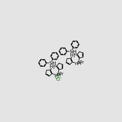 CCCC1=[C]([Hf+]([C]2=C(CCC)C=CC2)[SiH](c2ccccc2)c2ccccc2)CC=C1.CCCC1=[C]([Hf+]([C]2=C(CCC)C=CC2)[SiH](c2ccccc2)c2ccccc2)CC=C1.[Cl-].[Cl-]